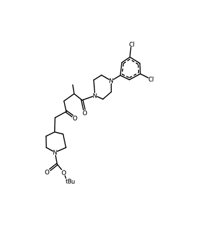 CC(CC(=O)CC1CCN(C(=O)OC(C)(C)C)CC1)C(=O)N1CCN(c2cc(Cl)cc(Cl)c2)CC1